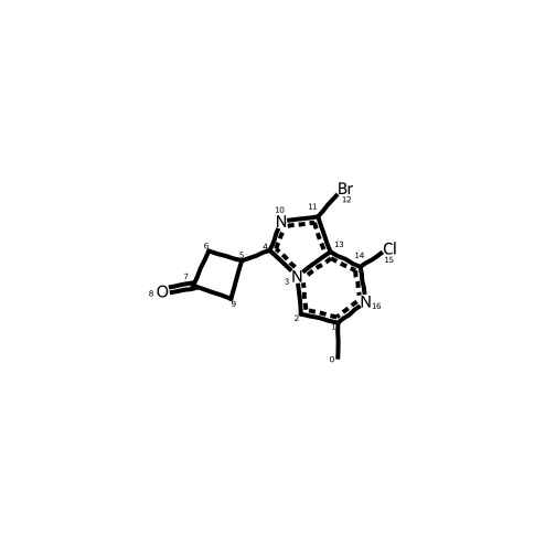 Cc1cn2c(C3CC(=O)C3)nc(Br)c2c(Cl)n1